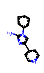 Nc1nc(-c2ccncc2)cn1-c1ccccc1